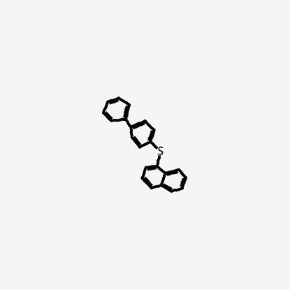 c1ccc(-c2ccc(Sc3cccc4ccccc34)cc2)cc1